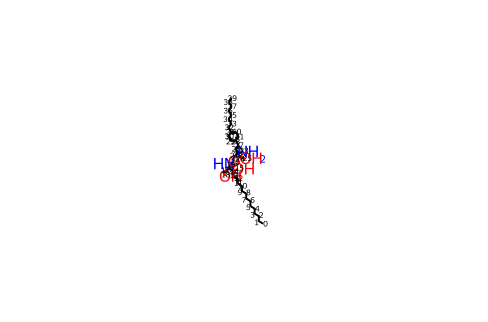 CCCCCCCCCCCC/C=C/C(O)C(CO)NOCC(N)(CO)CCc1ccc(CCCCCCCC)cc1